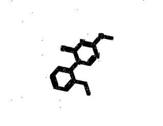 CCc1ccccc1-n1cnc(OC)nc1=O